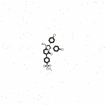 CC(=O)N1c2ccc(-c3ccc(S(C)(=O)=O)cc3)c(=O)n2[C@@H](c2ccc(Cl)cc2)[C@H]1c1ccc(Cl)cc1